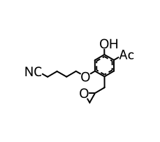 CC(=O)c1cc(CC2CO2)c(OCCCCC#N)cc1O